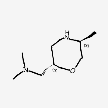 C[C@H]1CO[C@H](CN(C)C)CN1